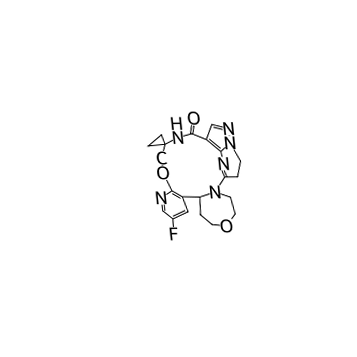 O=C1NC2(CC2)COc2ncc(F)cc2C2CCOCCN2C2=Nc3c1cnn3CC2